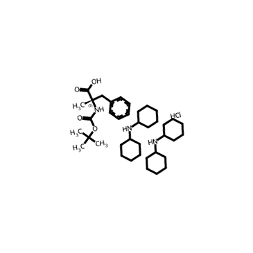 C1CCC(NC2CCCCC2)CC1.C1CCC(NC2CCCCC2)CC1.CC(C)(C)OC(=O)N[C@@](C)(Cc1ccccc1)C(=O)O.Cl